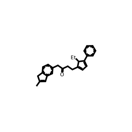 CCC1C(CCC(=O)Cc2ccc3c(c2)C=C(C)C3)=CC=C1c1ccccc1